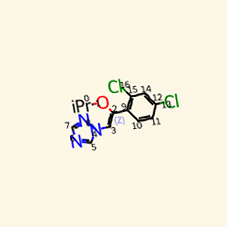 CC(C)O/C(=C\n1cncn1)c1ccc(Cl)cc1Cl